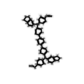 COc1ccc(N(c2ccc(-c3ccc(-c4ccc(N(c5ccc(CO)cc5)c5ccc6c(c5)CCC6)cc4)cc3)cc2)c2ccc3c(c2)CCC3)cc1